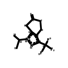 C=C1CCc2c(C(F)(F)F)nn(C(C)C)c2C1